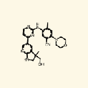 Cc1cc(N2CCOCC2)c(C#N)cc1Nc1nccc(-c2cnc3c(c2)C(C)(CO)CN3)n1